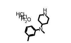 Cc1cccc(N(C)C2CCNCC2)c1.Cl.Cl.O